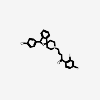 O=C(CCCN1CCC2(CC1)SC(c1ccc(Cl)cc1)c1ccccc12)c1ccc(F)cc1F